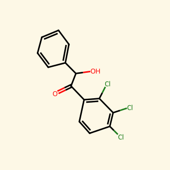 O=C(c1ccc(Cl)c(Cl)c1Cl)C(O)c1ccccc1